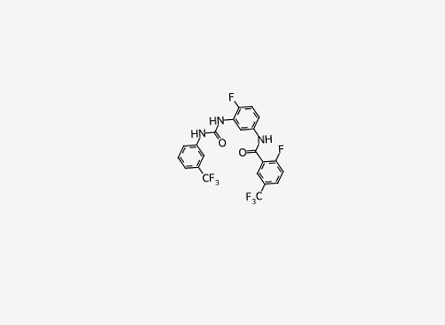 O=C(Nc1cccc(C(F)(F)F)c1)Nc1cc(NC(=O)c2cc(C(F)(F)F)ccc2F)ccc1F